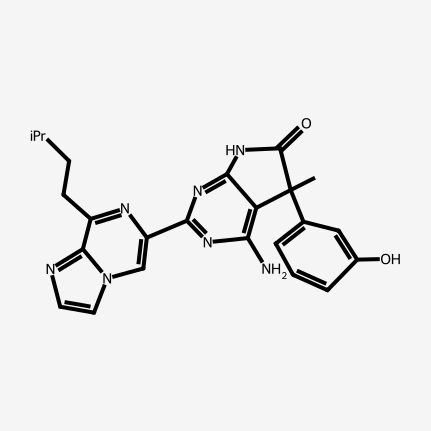 CC(C)CCc1nc(-c2nc(N)c3c(n2)NC(=O)C3(C)c2cccc(O)c2)cn2ccnc12